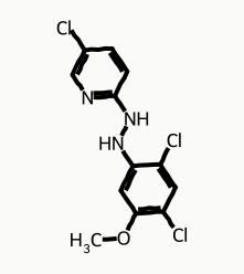 COc1cc(NNc2ccc(Cl)cn2)c(Cl)cc1Cl